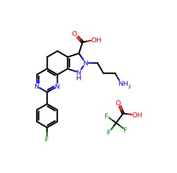 NCCCN1NC2=C(CCc3cnc(-c4ccc(F)cc4)nc32)C1C(=O)O.O=C(O)C(F)(F)F